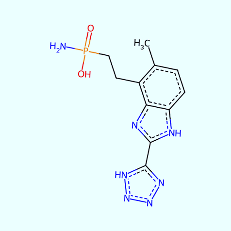 Cc1ccc2[nH]c(-c3nnn[nH]3)nc2c1CCP(N)(=O)O